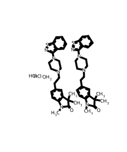 CN1C(=O)C(C)(C)c2cc(CCN3CCN(c4nsc5ccccc45)CC3)ccc21.CN1C(=O)C(C)(C)c2cc(CCN3CCN(c4nsc5ccccc45)CC3)ccc21.Cl.Cl.O